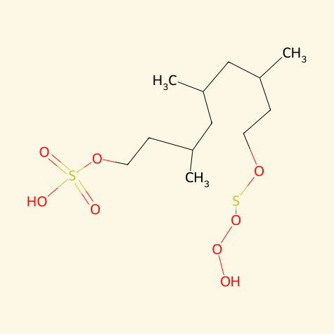 CC(CCOSOOO)CC(C)CC(C)CCOS(=O)(=O)O